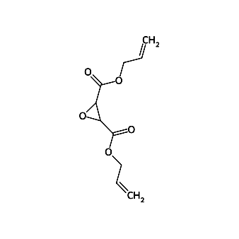 C=CCOC(=O)C1OC1C(=O)OCC=C